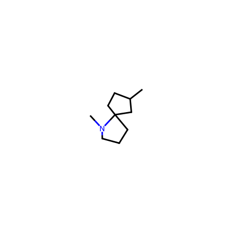 CC1CCC2(CCCN2C)C1